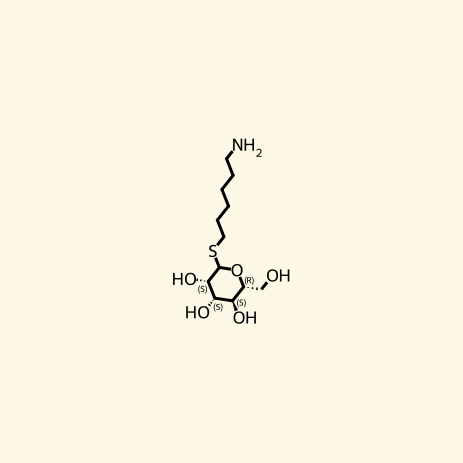 NCCCCCCSC1O[C@H](CO)[C@@H](O)[C@H](O)[C@@H]1O